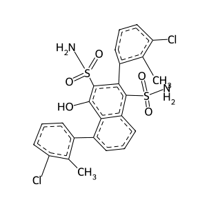 Cc1c(Cl)cccc1-c1c(S(N)(=O)=O)c(O)c2c(-c3cccc(Cl)c3C)cccc2c1S(N)(=O)=O